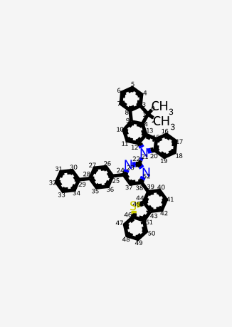 CC1(C)c2ccccc2-c2ccc3c(c21)c1ccccc1n3-c1nc(-c2ccc(-c3ccccc3)cc2)cc(-c2cccc3c2sc2ccccc23)n1